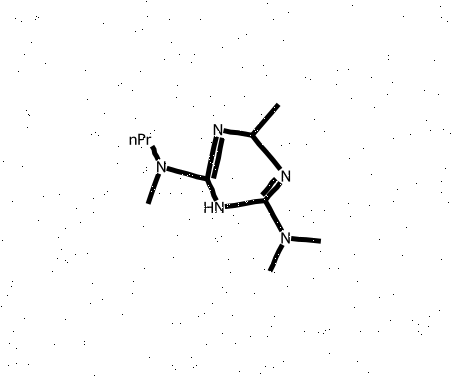 CCCN(C)C1=NC(C)N=C(N(C)C)N1